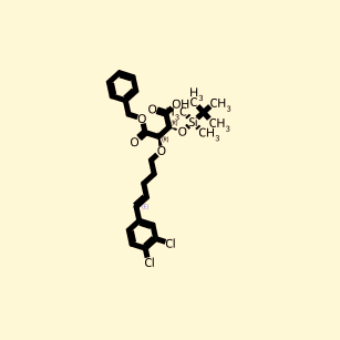 CC(C)(C)[Si](C)(C)O[C@@H](C(=O)O)[C@@H](OCCC/C=C/c1ccc(Cl)c(Cl)c1)C(=O)OCc1ccccc1